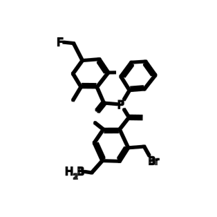 BCc1cc(C)c(C(=C)P(C(=C)C2=C(C)CC(CF)C=C2C)c2ccccc2)c(CBr)c1